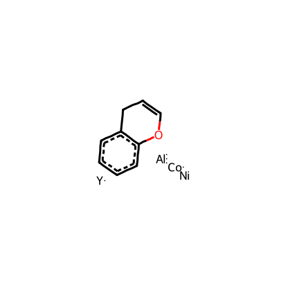 C1=COc2ccccc2C1.[Al].[Co].[Ni].[Y]